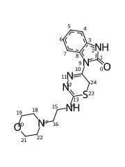 O=c1[nH]c2ccccc2n1C1=NN=C(NCCN2CCOCC2)SC1